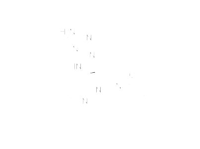 Cc1cccc2cc([C@H](C)Nc3ncnc(N)n3)c(N3CCN(C(=O)C4CC4)CC3)nc12